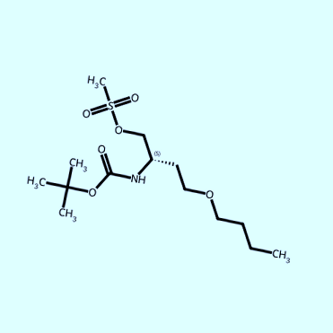 CCCCOCC[C@@H](COS(C)(=O)=O)NC(=O)OC(C)(C)C